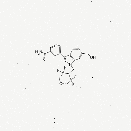 NC(=S)c1cccc(-c2cn(CC3C(F)(F)COCC3(F)F)c3cc(CO)ccc23)c1